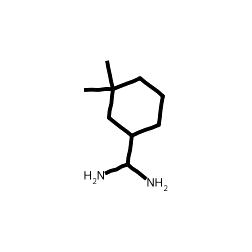 CC1(C)CCCC(C(N)N)C1